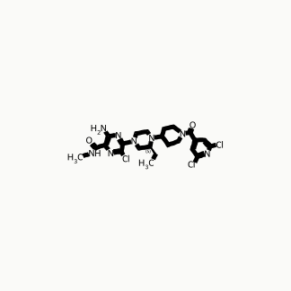 CC[C@H]1CN(c2nc(N)c(C(=O)NC)nc2Cl)CCN1C1CCN(C(=O)c2cc(Cl)nc(Cl)c2)CC1